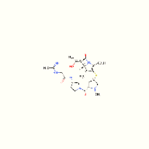 CC(=N)NCC(=O)N[C@H]1CCN(C(=O)[C@@H]2C[C@H](SC3=C(C(=O)O)N4C(=O)[C@H]([C@@H](C)O)[C@H]4[C@H]3C)CN2C)C1